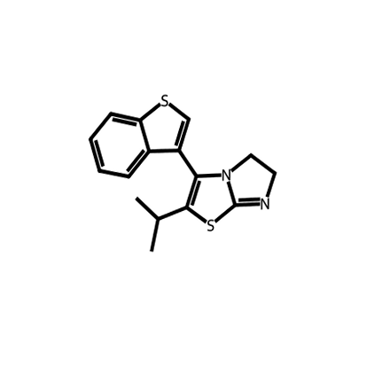 CC(C)C1=C(c2csc3ccccc23)N2CCN=C2S1